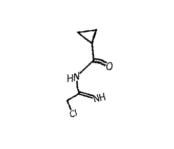 N=C(CCl)NC(=O)C1CC1